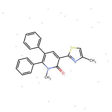 Cc1csc(-c2cc(-c3ccccc3)c(-c3ccccc3)n(C)c2=O)n1